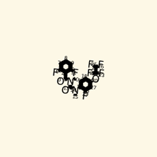 CN(C(=O)c1c(F)cccc1F)C(=O)N(C)c1ccc(OC(F)(F)C(F)F)cc1F